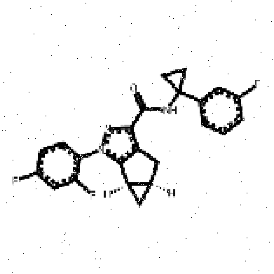 O=C(NC1(c2cccc(F)c2)CC1)c1nn(-c2ccc(F)cc2F)c2c1C[C@H]1C[C@@H]21